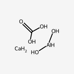 O=C(O)O.[CaH2].[OH][AlH][OH]